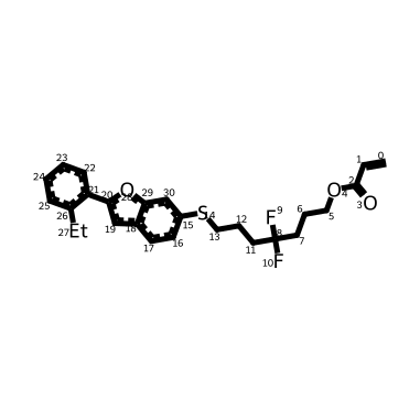 C=CC(=O)OCCCC(F)(F)CCCSc1ccc2cc(-c3ccccc3CC)oc2c1